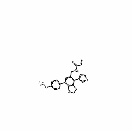 C=CC(=O)NCc1cc(-c2ccc(OC(F)(F)F)cc2)c2c(c1-n1ccnc1)CCO2